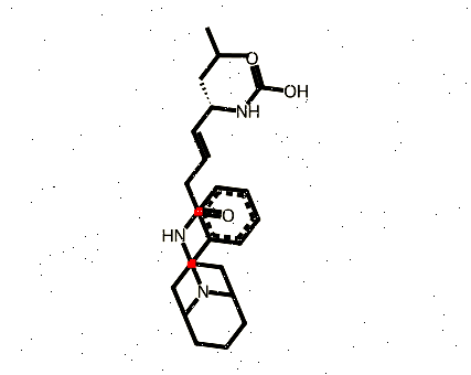 CC(C)C[C@@H](/C=C/CC(=O)NC1CC2CCCC(C1)N2Cc1ccccc1)NC(=O)O